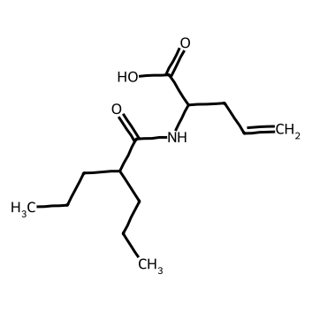 C=CCC(NC(=O)C(CCC)CCC)C(=O)O